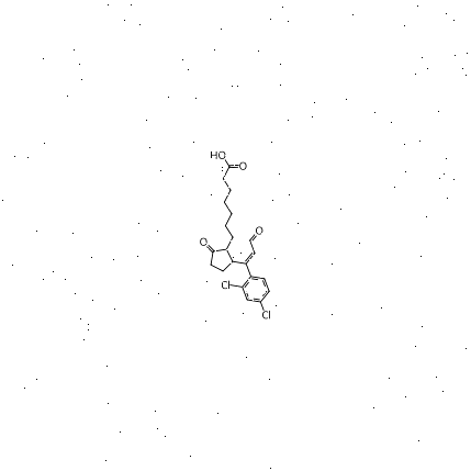 O=CC=C(c1ccc(Cl)cc1Cl)C1CCC(=O)C1CCCCCCC(=O)O